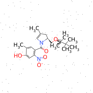 CC1=CN(C(=O)c2cc(C)c(O)cc2[N+](=O)[O-])[C@H](CO[Si](C)(C)C(C)(C)C)C1